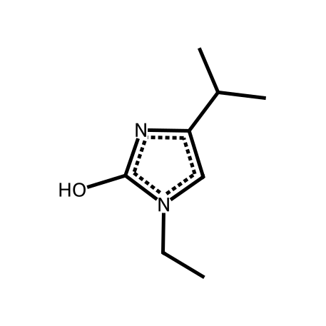 CCn1cc(C(C)C)nc1O